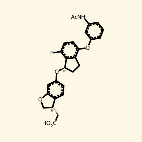 CC(=O)Nc1cccc(Oc2ccc(F)c3c2CC[C@H]3Oc2ccc3c(c2)OC[C@H]3CC(=O)O)c1